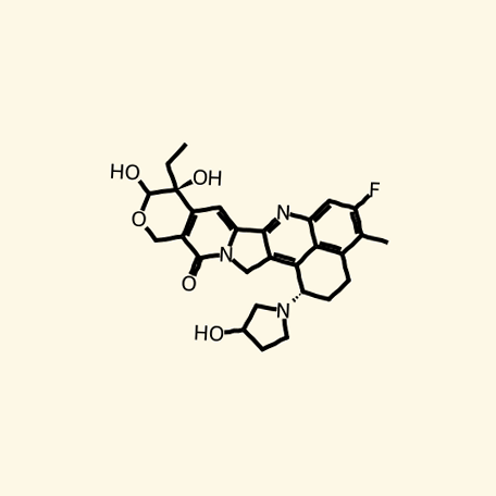 CC[C@]1(O)c2cc3n(c(=O)c2COC1O)Cc1c-3nc2cc(F)c(C)c3c2c1[C@@H](N1CCC(O)C1)CC3